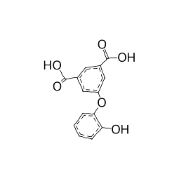 O=C(O)c1cc(Oc2ccccc2O)cc(C(=O)O)c1